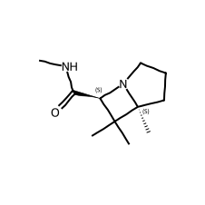 CNC(=O)[C@H]1N2CCC[C@@]2(C)C1(C)C